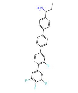 CCC(N)c1ccc(-c2ccc(-c3ccc(-c4cc(F)c(F)c(F)c4)c(F)c3)cc2)cc1